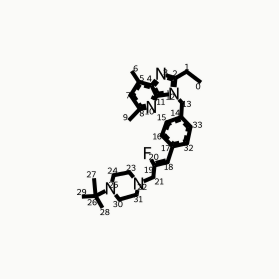 CCc1nc2c(C)cc(C)nc2n1Cc1ccc(C=C(F)CN2CCN(C(C)(C)C)CC2)cc1